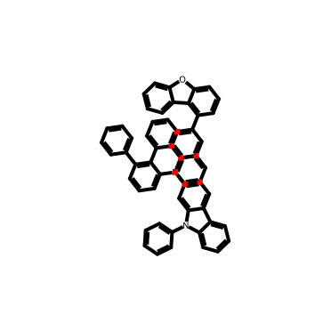 c1ccc(-c2ccccc2-c2c(-c3ccccc3)cccc2N(c2ccc(-c3cccc4oc5ccccc5c34)cc2)c2ccc3c4ccccc4n(-c4ccccc4)c3c2)cc1